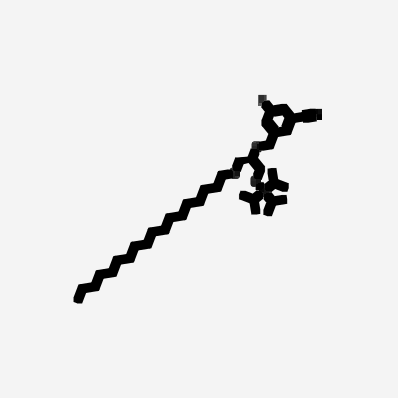 CCCCCCCCCCCCCCCCCCOC[C@H](CO[Si](C(C)C)(C(C)C)C(C)C)OCc1cc(F)cc(C#N)c1